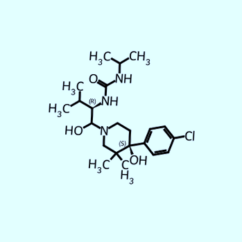 CC(C)NC(=O)N[C@H](C(C)C)C(O)N1CC[C@](O)(c2ccc(Cl)cc2)C(C)(C)C1